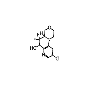 O[C@@H]1c2ncc(Cl)cc2N2CCOC[C@H]2C1(F)F